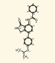 CC(C)Oc1ccc(-c2ccc(NC(=O)c3ccccc3)c3c2CNC3=O)cc1